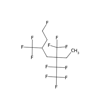 CCC(CC(CCF)C(F)(F)F)(C(F)(F)F)C(F)(F)C(F)(F)F